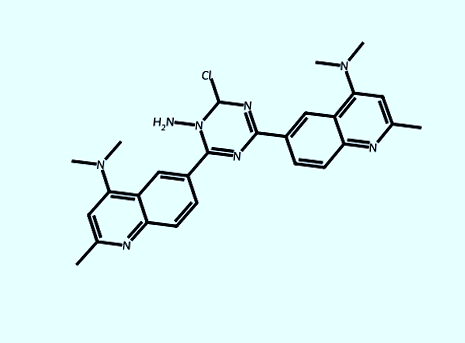 Cc1cc(N(C)C)c2cc(C3=NC(Cl)N(N)C(c4ccc5nc(C)cc(N(C)C)c5c4)=N3)ccc2n1